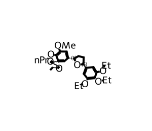 CCCOc1c(OC)cc([C@@H]2CC[C@@H](c3cc(OCC)c(OCC)c(OCC)c3)O2)cc1S(C)(=O)=O